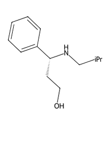 CC(C)CN[C@H](CCO)c1ccccc1